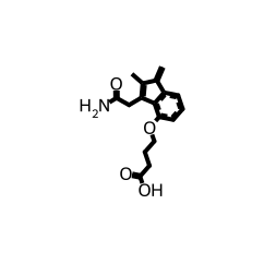 C=C1C(C)=C(CC(N)=O)c2c(OCCCC(=O)O)cccc21